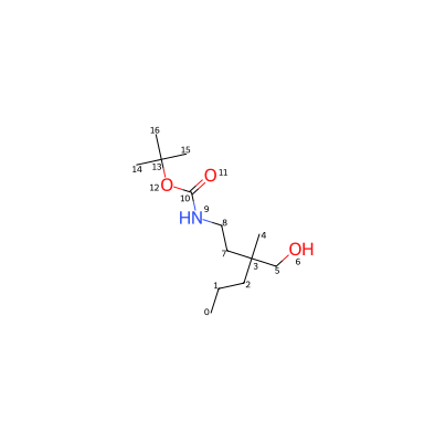 CCCC(C)(CO)CCNC(=O)OC(C)(C)C